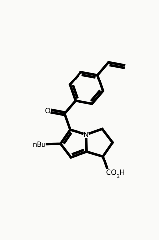 C=Cc1ccc(C(=O)c2c(CCCC)cc3n2CCC3C(=O)O)cc1